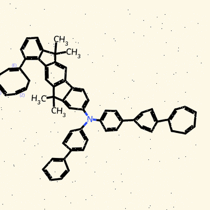 CC1(C)c2cc(N(c3ccc(-c4ccccc4)cc3)c3ccc(-c4ccc(C5=CC=CC=CC5)cc4)cc3)ccc2-c2cc3c(cc21)-c1c(/C2=C/C/C=C\C=C/C2)cccc1C3(C)C